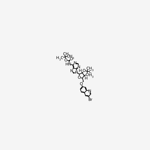 CC(C)(C)OC(=O)Nc1ncnc2c1ncn2C1OC(COc2ccc3cc(Br)cnc3c2)[C@H]2OC(C)(C)O[C@@H]12